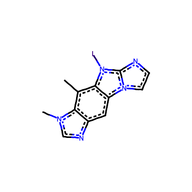 Cc1c2c(cc3c1n(I)c1nccn31)ncn2C